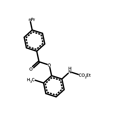 CCCc1ccc(C(=O)Oc2c(C)cccc2NC(=O)OCC)cc1